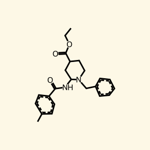 CCOC(=O)C1CCN(Cc2ccccc2)C(NC(=O)c2ccc(C)cc2)C1